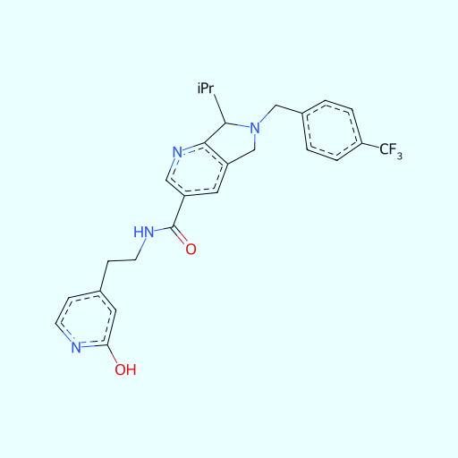 CC(C)C1c2ncc(C(=O)NCCc3ccnc(O)c3)cc2CN1Cc1ccc(C(F)(F)F)cc1